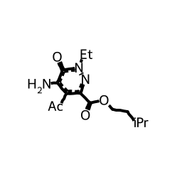 CCn1nc(C(=O)OCCC(C)C)c(C(C)=O)c(N)c1=O